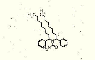 CCCCCCCCC(c1ccccc1)N(C(N)=O)C(CCCCCCCC)c1ccccc1